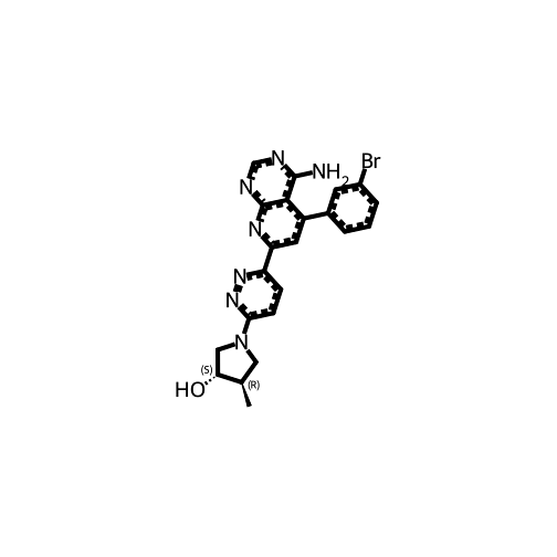 C[C@@H]1CN(c2ccc(-c3cc(-c4cccc(Br)c4)c4c(N)ncnc4n3)nn2)C[C@H]1O